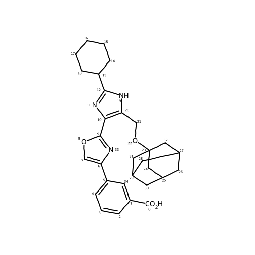 O=C(O)c1cccc(-c2coc(-c3nc(C4CCCCC4)[nH]c3COC34CC5CC(CC(C5)C3)C4)n2)c1